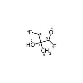 CC(O)(CF)C([O])F